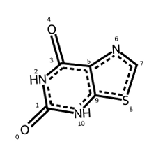 O=c1[nH]c(=O)c2ncsc2[nH]1